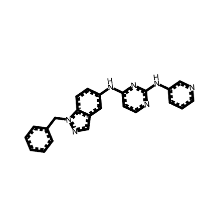 c1ccc(Cn2ncc3cc(Nc4ccnc(Nc5cccnc5)n4)ccc32)cc1